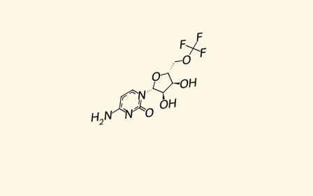 Nc1ccn([C@@H]2O[C@H](COC(F)(F)F)[C@@H](O)[C@H]2O)c(=O)n1